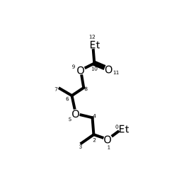 CCOC(C)COC(C)COC(=O)CC